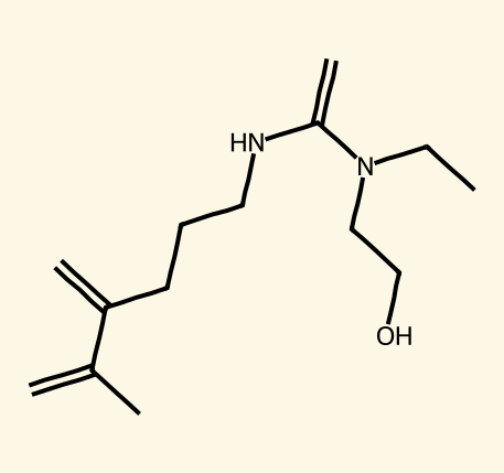 C=C(C)C(=C)CCCNC(=C)N(CC)CCO